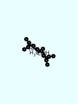 CC1(C)c2cc(Nc3cccc(-n4c5ccc(-c6ccccc6)cc5c5cc(-c6ccccc6)ccc54)c3)ccc2-c2c1cc(Nc1cccc(-n3c4ccc(-c5ccccc5)cc4c4cc(-c5ccccc5)ccc43)c1)c1ccccc21